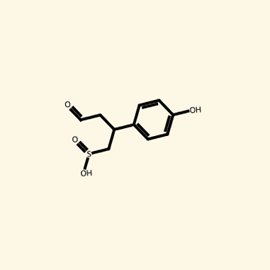 O=[C]CC(CS(=O)O)c1ccc(O)cc1